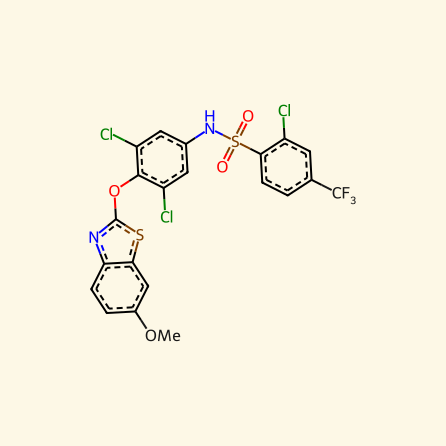 COc1ccc2nc(Oc3c(Cl)cc(NS(=O)(=O)c4ccc(C(F)(F)F)cc4Cl)cc3Cl)sc2c1